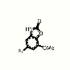 COc1cc(Br)cc2[nH]c(=O)oc12